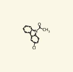 CC(=O)n1c2ccccc2c2cc(Cl)ccc21